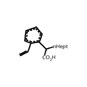 C=Cc1ccccc1C(CCCCCCC)C(=O)O